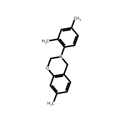 Cc1ccc(N2COc3cc(C)ccc3C2)c(C)c1